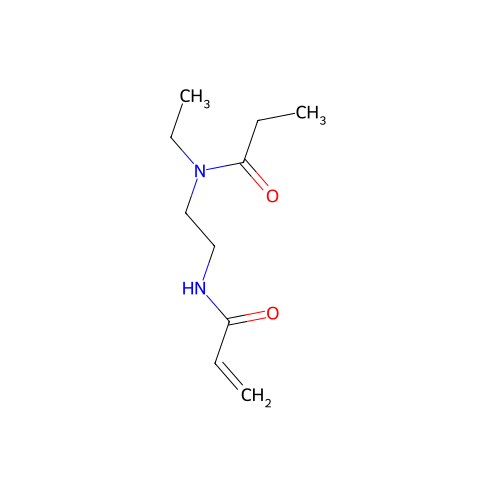 C=CC(=O)NCCN(CC)C(=O)CC